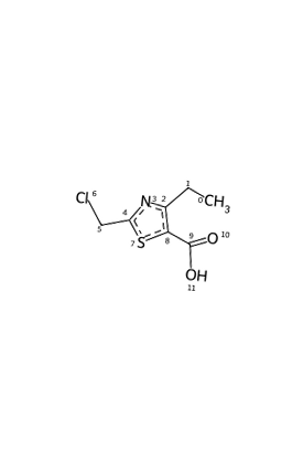 CCc1nc(CCl)sc1C(=O)O